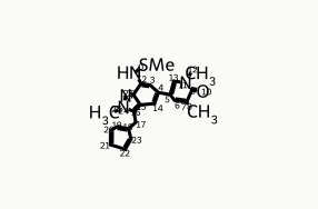 CSNc1cc(-c2cc(C)c(=O)n(C)c2)cc2c(Cc3ccccc3)n(C)nc12